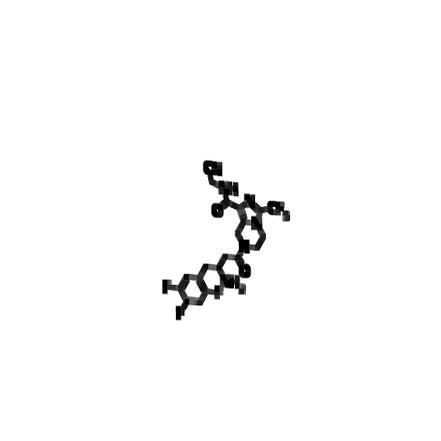 N#CCNC(=O)c1nc(C(F)(F)F)n2c1CN(C(=O)CC(N)Cc1cc(F)c(F)cc1F)CC2